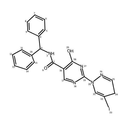 O=C(NC(c1ccccc1)c1ccccc1)c1cnc(N2C=C(I)CC=N2)nc1O